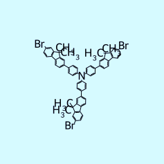 CC1(C)c2cc(Br)ccc2-c2ccc(-c3ccc(N(c4ccc(-c5ccc6c(c5)C(C)(C)c5cc(Br)ccc5-6)cc4)c4ccc(-c5ccc6c(c5)C(C)(C)c5cc(Br)ccc5-6)cc4)cc3)cc21